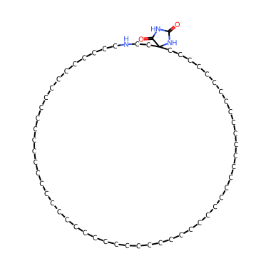 O=C1NC(=O)C2(CCCCCCCCCCCCCCCCCCCCCCCCCCCCCCCCCCCCCCCCCCCCCCCCCCCCCNCC2)N1